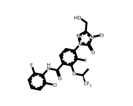 CCn1c(CO)nn(-c2ccc(C(=O)Nc3c(F)cccc3Cl)c(O[C@@H](C)C(F)(F)F)c2F)c1=O